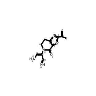 C=C(C)c1nc2c(s1)C(=O)N(/C(C=N)=C/N)CC2